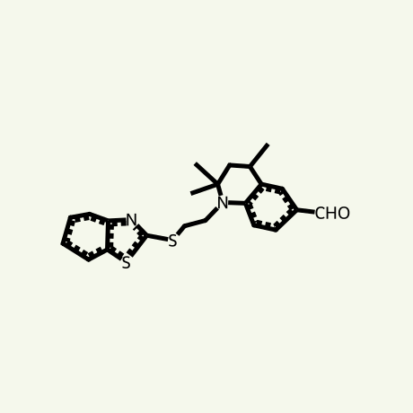 CC1CC(C)(C)N(CCSc2nc3ccccc3s2)c2ccc(C=O)cc21